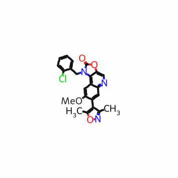 COc1cc2c(cc1-c1c(C)noc1C)ncc1oc(=O)n(Cc3ccccc3Cl)c12